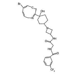 O=C(CNC(=O)c1cccc(C(F)(F)F)c1)NC1CN(C2CCC(O)(/C3=N/C/C=C\C(Br)=C/CS3)CC2)C1